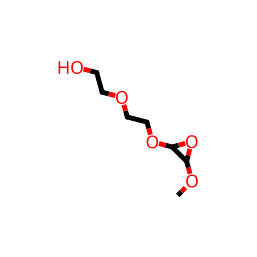 COC1OC1OCCOCCO